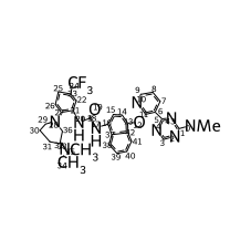 CNc1ncnc(-c2cccnc2Oc2ccc(NC(=O)Nc3cc(C(F)(F)F)ccc3N3CCCC(N(C)C)C3)c3ccccc23)n1